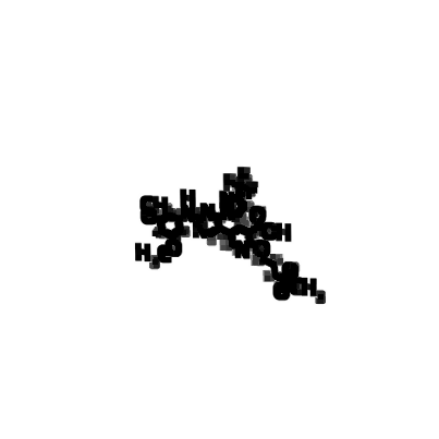 COc1cc(Nc2ncc(-c3cnc(OCCCS(C)(=O)=O)c(C(=O)O)c3)c(-n3ccc(C(F)(F)F)n3)n2)cc(OC)c1